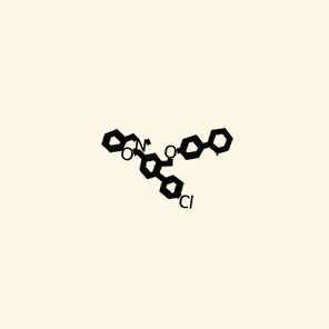 CN(Cc1ccccc1)C(=O)c1ccc(-c2ccc(Cl)cc2)c(COc2ccc(C3[CH]CCCC3)cc2)c1